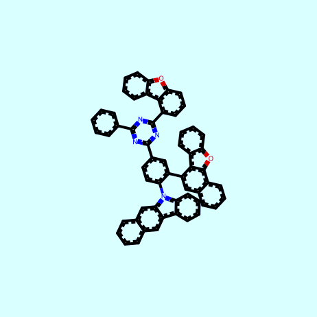 c1ccc(-c2nc(-c3ccc(-n4c5ccccc5c5cc6ccccc6cc54)c(-c4cc5ccccc5c5oc6ccccc6c45)c3)nc(-c3cccc4oc5ccccc5c34)n2)cc1